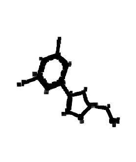 OC[C@H]1CC(c2cc(F)cc(F)c2)=NO1